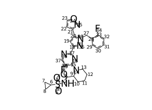 O=C(NS(=O)(=O)C1CC1)C1CCCCN1c1nc(-c2cc(-c3ccon3)n(Cc3ccccc3F)n2)ncc1F